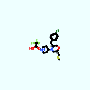 CSC[C@H]1CN(C2CCNCC2)[C@@H](Cc2ccc(Cl)cc2)CO1.O=C(O)C(F)(F)F